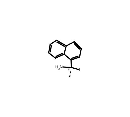 C[C@@](N)(I)c1cccc2ccccc12